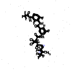 C=C(/C=C\C(F)=C(/C)C(F)(F)F)[C@H]1[C@H](C(=O)Nc2cc(F)c(F)c(C(=O)Nc3c(F)ccc(NC(=O)C(F)(F)F)c3F)c2)C1(Cl)Cl